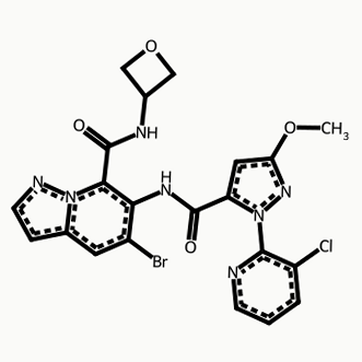 COc1cc(C(=O)Nc2c(Br)cc3ccnn3c2C(=O)NC2COC2)n(-c2ncccc2Cl)n1